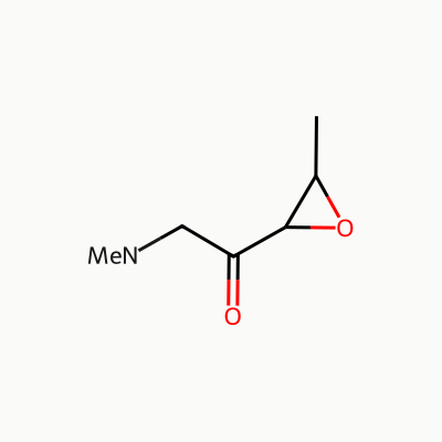 CNCC(=O)C1OC1C